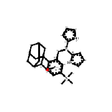 C[Si](C)(C)c1ccc(C23CC4CC(CC(C4)C2CP)C3)c(CP(c2ccc[nH]2)c2ccc[nH]2)c1